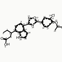 CCC(CC(=O)O)c1ccc(-c2noc(-c3ccc(OC(C)C)c(Cl)c3)n2)c2cc[nH]c12